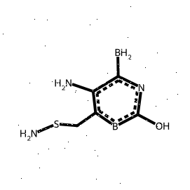 Bc1nc(O)bc(CSN)c1N